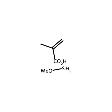 C=C(C)C(=O)O.CO[SiH3]